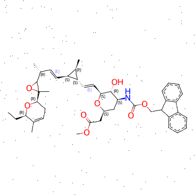 CC[C@H]1O[C@@H](C2(C)OC2[C@H](C)/C=C/[C@H]2[C@@H](C)[C@@H]2/C=C/[C@@H]2O[C@H](CC(=O)OC)C[C@H](NC(=O)OCC3c4ccccc4-c4ccccc43)[C@H]2O)CC=C1C